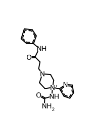 NC(=O)N[N+]1(c2ccccn2)CCN(CCC(=O)Nc2ccccc2)CC1